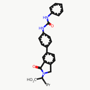 CC(C)C(C(=O)O)N1Cc2ccc(-c3ccc(NC(=O)Nc4ccccc4)cc3)cc2C1=O